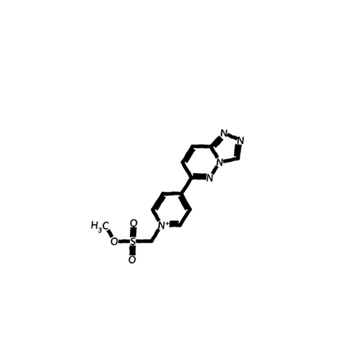 COS(=O)(=O)C[n+]1ccc(-c2ccc3nncn3n2)cc1